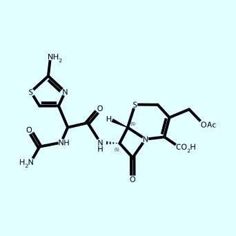 CC(=O)OCC1=C(C(=O)O)N2C(=O)[C@H](NC(=O)C(NC(N)=O)c3csc(N)n3)[C@@H]2SC1